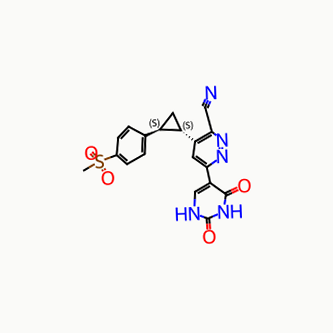 CS(=O)(=O)c1ccc([C@H]2C[C@@H]2c2cc(-c3c[nH]c(=O)[nH]c3=O)nnc2C#N)cc1